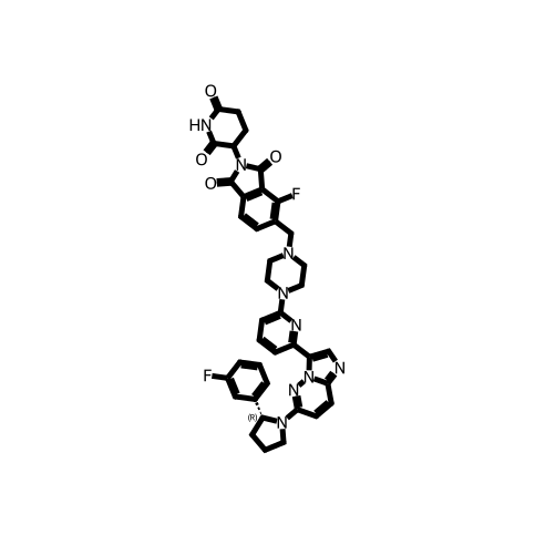 O=C1CCC(N2C(=O)c3ccc(CN4CCN(c5cccc(-c6cnc7ccc(N8CCC[C@@H]8c8cccc(F)c8)nn67)n5)CC4)c(F)c3C2=O)C(=O)N1